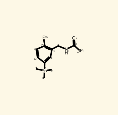 CC(C)C(=O)NCc1c[c]([Sn]([CH3])([CH3])[CH3])ccc1F